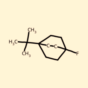 CC(C)(C)C12CCC(F)(CC1)CC2